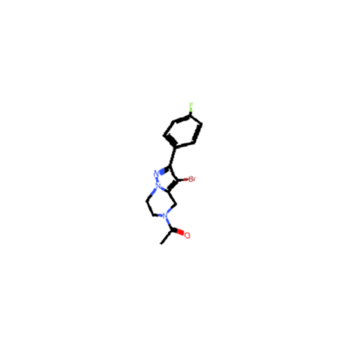 CC(=O)N1CCn2nc(-c3ccc(F)cc3)c(Br)c2C1